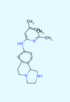 C=C(C)/C=C(\N=C(C)C)Nc1ccc2c(c1)CCN1CCNCC21